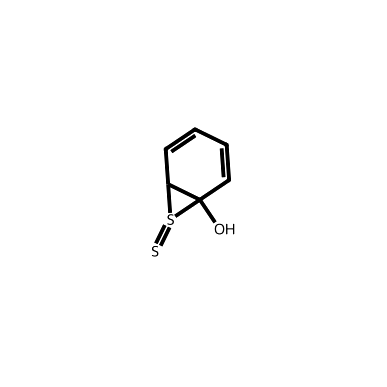 OC12C=CC=CC1S2=S